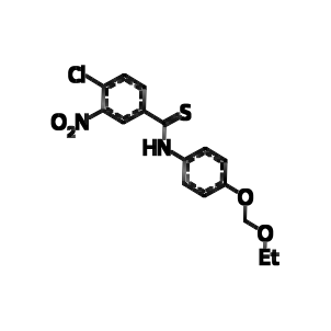 CCOCOc1ccc(NC(=S)c2ccc(Cl)c([N+](=O)[O-])c2)cc1